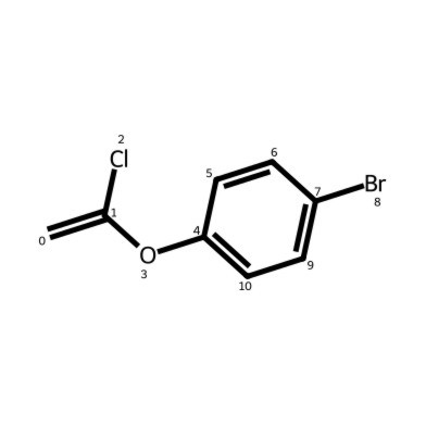 C=C(Cl)Oc1ccc(Br)cc1